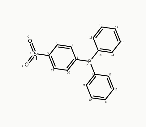 O=[SH](=O)c1ccc(P(c2ccccc2)c2ccccc2)cc1